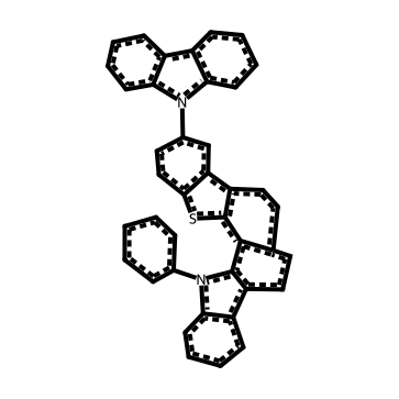 c1ccc(-n2c3ccccc3c3ccc4ccc5c6cc(-n7c8ccccc8c8ccccc87)ccc6sc5c4c32)cc1